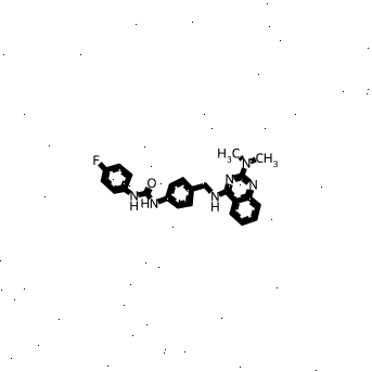 CN(C)c1nc(NCc2ccc(NC(=O)Nc3ccc(F)cc3)cc2)c2ccccc2n1